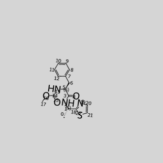 [CH2][C@H](NC(=O)[C@H](Cc1ccccc1)NC(=O)OC)c1nccs1